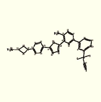 CC(C)(C#N)c1cc(-c2cnc(N)c(-c3nnc(-c4ccc(N5CC(N)C5)cc4)o3)n2)ccn1